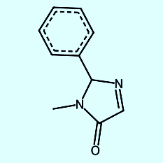 CN1C(=O)C=NC1c1ccccc1